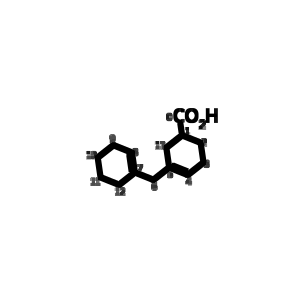 O=C(O)C1CCC=C(CC2=CCCCC2)C1